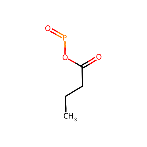 CCCC(=O)OP=O